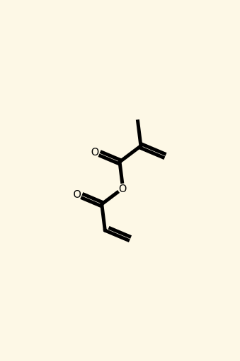 C=CC(=O)OC(=O)C(=C)C